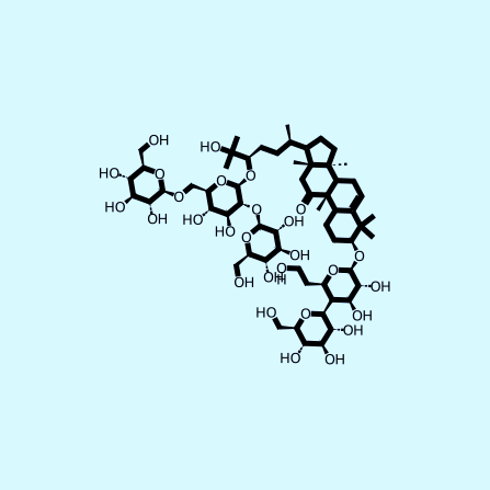 C[C@H](CC[C@@H](O[C@@H]1O[C@H](CO[C@@H]2O[C@H](CO)[C@@H](O)[C@H](O)[C@H]2O)[C@@H](O)[C@H](O)[C@H]1O[C@@H]1O[C@H](CO)[C@@H](O)[C@H](O)[C@H]1O)C(C)(C)O)C1CC[C@@]2(C)C3CC=C4C(CC[C@H](O[C@@H]5O[C@H](CCO)C([C@@H]6O[C@H](CO)[C@@H](O)[C@H](O)[C@H]6O)[C@H](O)[C@H]5O)C4(C)C)[C@]3(C)C(=O)C[C@]12C